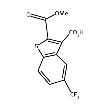 COC(=O)c1sc2ccc(C(F)(F)F)cc2c1C(=O)O